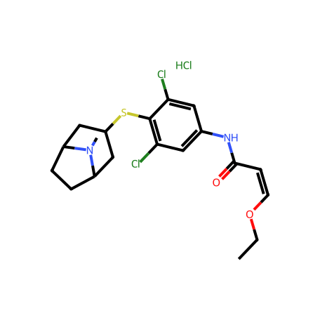 CCO/C=C\C(=O)Nc1cc(Cl)c(SC2CC3CCC(C2)N3C)c(Cl)c1.Cl